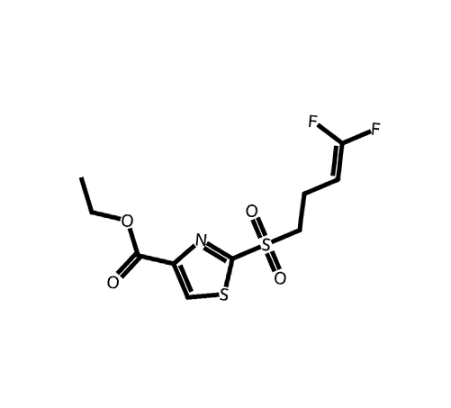 CCOC(=O)c1csc(S(=O)(=O)CCC=C(F)F)n1